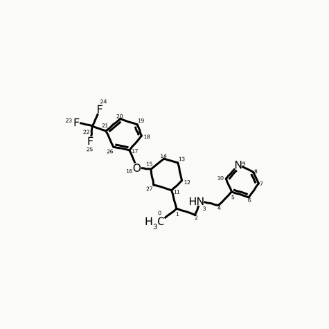 CC(CNCc1cccnc1)C1CCCC(Oc2cccc(C(F)(F)F)c2)C1